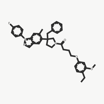 CCc1ccc(OCCCC(=O)N2CCC(Cc3ccccc3)(c3cc4cnn(-c5ccc(F)cc5)c4cc3C)C2)cc1OC